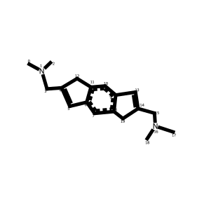 CN(C)CC1=Cc2cc3c(cc2C1)C=C(CN(C)C)C3